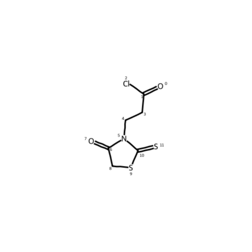 O=C(Cl)CCN1C(=O)CSC1=S